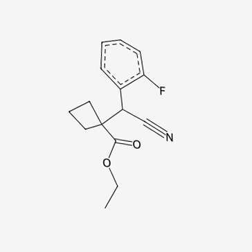 CCOC(=O)C1(C(C#N)c2ccccc2F)CCC1